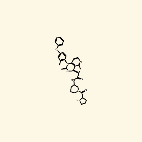 Cc1cc(Oc2ccccc2)ccc1N1C(=O)Nc2c(C(=O)NC3CCCN(C(=O)C4CCCN4)C3)sc3nccc1c23